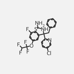 NC(=S)NC(Cc1ccccc1)(c1cc(F)cc(OC(F)(F)C(F)F)c1)c1ccc(Cl)cn1